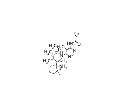 C=C(C(C)[C@H](C)[C@@H](CC)Nc1ncnc(NC(=O)C2CC2)c1C)C1(N)CCCCC1(F)F